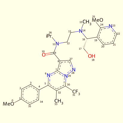 COc1ccc(-c2nc3c(C(=O)N(CCN(C)[C@@H](CO)c4cccnc4OC)C(C)C)cnn3c(C(F)(F)F)c2C)cc1